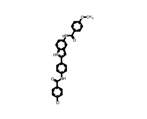 COc1ccc(C(=O)Nc2ccc3[nH]c(-c4ccc(NC(=O)c5ccc(Cl)cc5)cc4)cc3c2)cc1